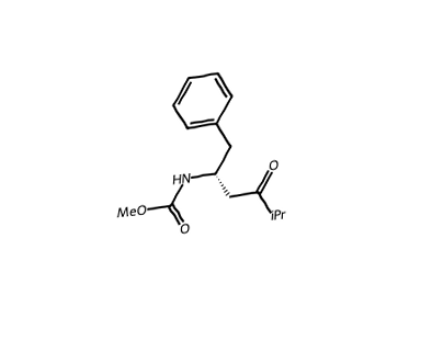 COC(=O)N[C@@H](CC(=O)C(C)C)Cc1ccccc1